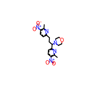 Cc1nc(CCC(c2ccc([N+](=O)[O-])c(C)n2)N2CCOCC2)ccc1[N+](=O)[O-]